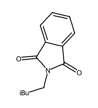 CCC(C)CN1C(=O)c2ccccc2C1=O